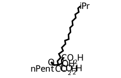 CCCCCC(=O)C(CCCCCCCCCCCCCCCCCC(C)C)(C(=O)O)C(O)(CC(=O)O)C(=O)O